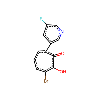 O=c1c(-c2cncc(F)c2)cccc(Br)c1O